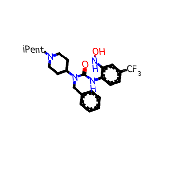 CCCC(C)N1CCC(N(Cc2ccccc2)C(=O)Nc2ccc(C(F)(F)F)cc2NO)CC1